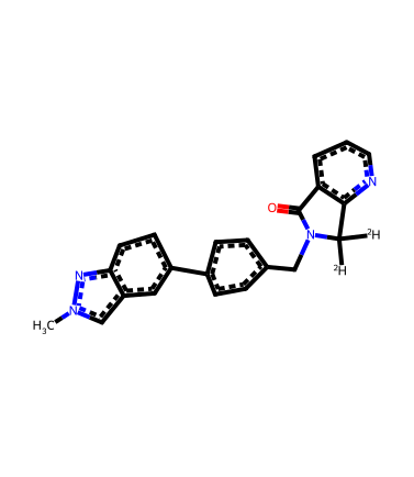 [2H]C1([2H])c2ncccc2C(=O)N1Cc1ccc(-c2ccc3nn(C)cc3c2)cc1